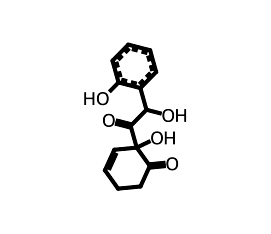 O=C1CCC=CC1(O)C(=O)C(O)c1ccccc1O